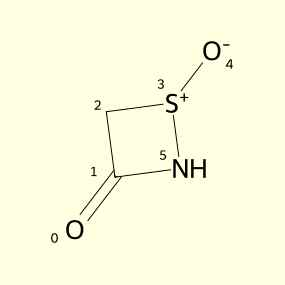 O=C1C[S+]([O-])N1